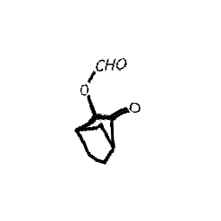 O=COC1C(=O)C2CCC1C2